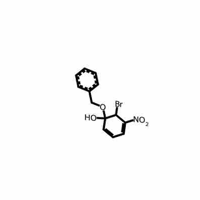 O=[N+]([O-])C1=CC=CC(O)(OCc2ccccc2)C1Br